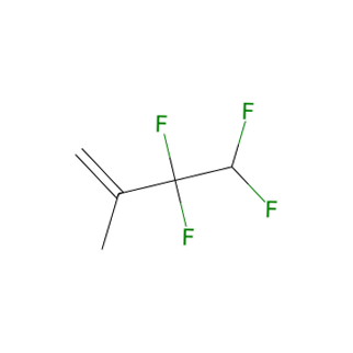 C=C(C)C(F)(F)C(F)F